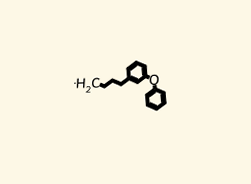 [CH2]CCCc1cccc(Oc2ccccc2)c1